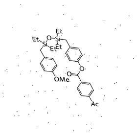 CC[Si](CC)(Cc1ccc(OC)cc1)O[Si](CC)(CC)Cc1ccc(OC(=O)c2ccc(C(C)=O)cc2)cc1